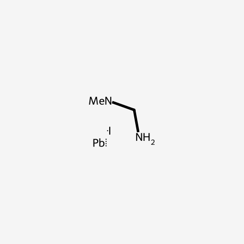 CNCN.[I].[Pb]